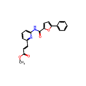 COC(=O)C=Cc1cccc(NC(=O)c2ccc(-c3ccccc3)o2)n1